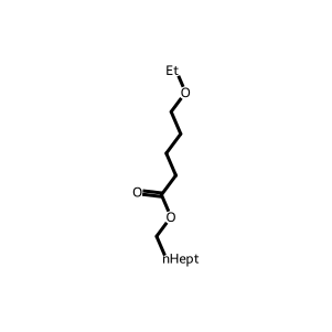 CCCCCCCCOC(=O)CCCCOCC